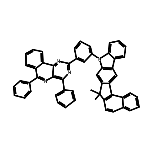 CC1(C)c2cc3c(cc2-c2c1ccc1ccccc21)c1ccccc1n3-c1cccc(-c2nc(-c3ccccc3)c3nc(-c4ccccc4)c4ccccc4c3n2)c1